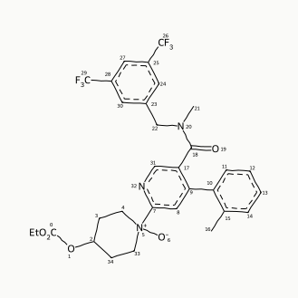 CCOC(=O)OC1CC[N+]([O-])(c2cc(-c3ccccc3C)c(C(=O)N(C)Cc3cc(C(F)(F)F)cc(C(F)(F)F)c3)cn2)CC1